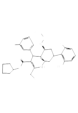 CCC1=C(C(=O)OC2CCCC2)C(c2cccc(O)c2)C2=C(CC(c3c(C)cccc3C)C/C2=N\OC)N1